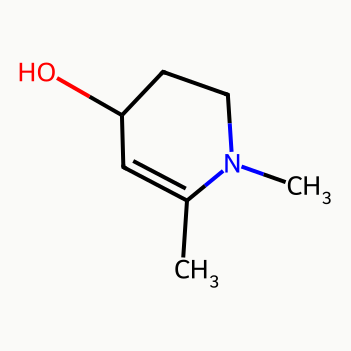 CC1=CC(O)CCN1C